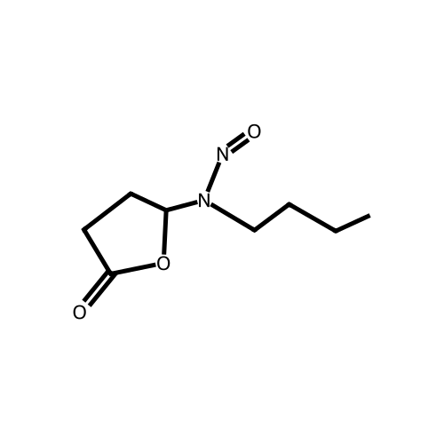 CCCCN(N=O)C1CCC(=O)O1